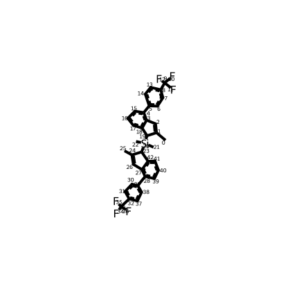 CC1=Cc2c(-c3ccc(C(F)(F)F)cc3)cccc2C1[Si](C)(C)C1C(C)=Cc2c(-c3ccc(C(F)(F)F)cc3)cccc21